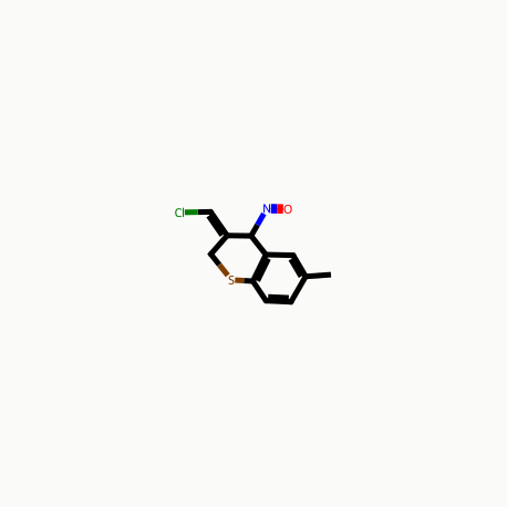 Cc1ccc2c(c1)C(N=O)/C(=C/Cl)CS2